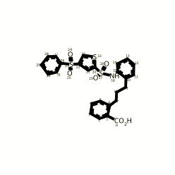 O=C(O)c1ccccc1CCCc1ccccc1NS(=O)(=O)c1cc(S(=O)(=O)c2ccccc2)cs1